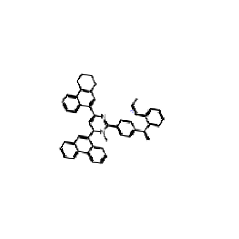 C=C(c1ccc(C2=NC(c3cc4c(c5ccccc35)CCCC4)=CC(c3cc4ccccc4c4ccccc34)N2C)cc1)c1ccccc1/C=C\C